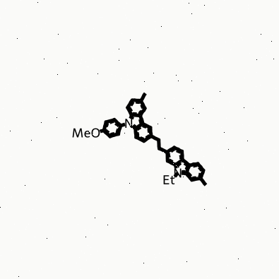 CCn1c2cc(C)ccc2c2ccc(CCc3ccc4c(c3)c3cc(C)ccc3n4-c3ccc(OC)cc3)cc21